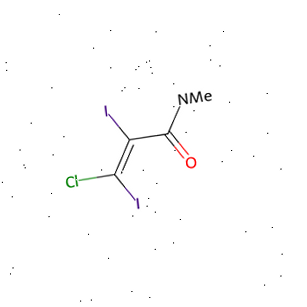 CNC(=O)/C(I)=C(/Cl)I